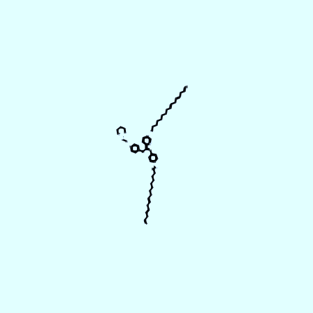 CCC=CCC=CCC=CCCCCCCCC(=O)Oc1ccc(-c2sc3cc(OC(=O)CCCCCCCC=CCC=CCC=CCC)ccc3c2C(=O)c2ccc(OCCN3CCCCC3)cc2)cc1